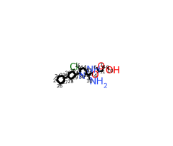 NCc1c(O[C@@H]2CO[C@H](CO)C2)[nH]c2cc(Cl)c(-c3ccc(-c4ccccc4)cc3)nc12